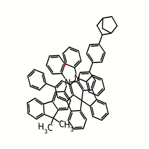 CC1(C)c2ccccc2-c2cc(N(c3ccccc3)c3cc(-c4ccc(C5CC6CCC5C6)cc4)cc4c3C3(c5ccccc5-c5cc(-c6ccccc6)cc(N(c6ccccc6)c6ccccc6)c53)c3ccccc3-4)ccc21